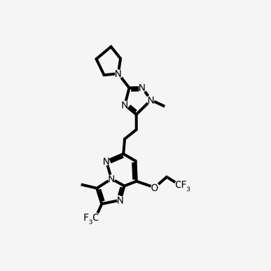 Cc1c(C(F)(F)F)nc2c(OCC(F)(F)F)cc(CCc3nc(N4CCCC4)nn3C)nn12